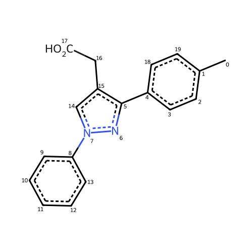 Cc1ccc(-c2nn(-c3ccccc3)cc2CC(=O)O)cc1